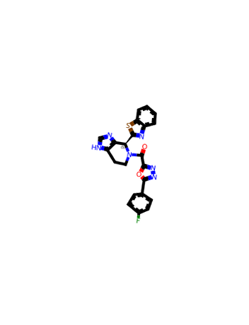 O=C(c1nnc(-c2ccc(F)cc2)o1)N1CCc2[nH]cnc2[C@H]1c1nc2ccccc2s1